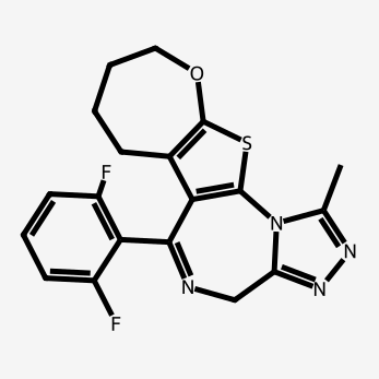 Cc1nnc2n1-c1sc3c(c1C(c1c(F)cccc1F)=NC2)CCCCO3